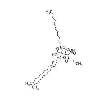 CCCCCCCCCCCCCCOC(C(=O)O)(C(C(=O)O)C(=O)CCC)C(CCCCCCCCCCCCCC)(CCCCCCCCCCCCCC)C(=O)O